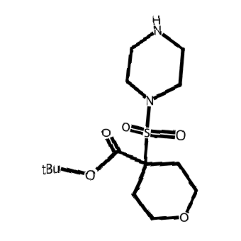 CC(C)(C)OC(=O)C1(S(=O)(=O)N2CCNCC2)CCOCC1